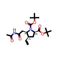 C=C[C@@H]1C[C@H](C(=O)OC(C)(C)C)N(C(=O)OC(C)(C)C)[C@@H]1CC(=O)NC(C)=O